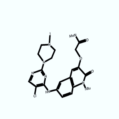 CCCCn1c(=O)c(OCC(=O)NC)cc2cc(Nc3nc(N4CCN(I)CC4)ncc3Cl)ccc21